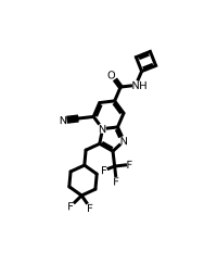 N#Cc1cc(C(=O)NC2=CC=C2)cc2nc(C(F)(F)F)c(CC3CCC(F)(F)CC3)n12